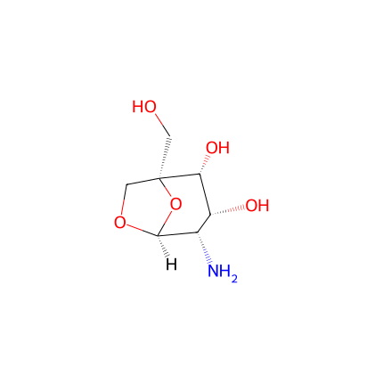 N[C@@H]1[C@H]2OC[C@](CO)(O2)[C@H](O)[C@@H]1O